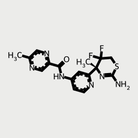 Cc1cnc(C(=O)Nc2ccnc([C@@]3(C)N=C(N)SCC3(F)F)c2)cn1